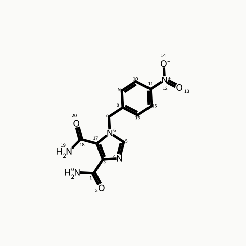 NC(=O)c1ncn(Cc2ccc([N+](=O)[O-])cc2)c1C(N)=O